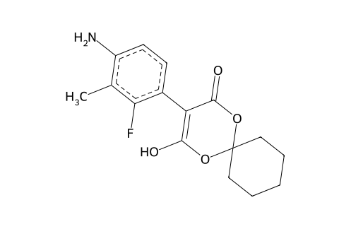 Cc1c(N)ccc(C2=C(O)OC3(CCCCC3)OC2=O)c1F